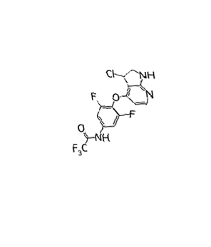 O=C(Nc1cc(F)c(Oc2ccnc3c2C(Cl)CN3)c(F)c1)C(F)(F)F